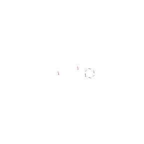 COc1cccc(OC)c1C(=O)SCCC(=O)O